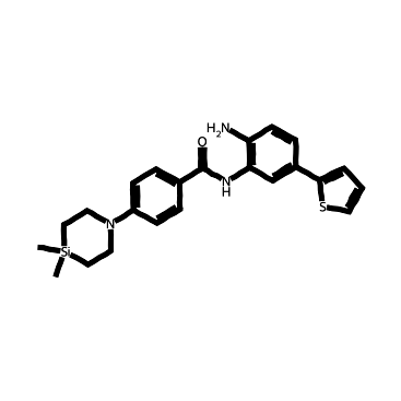 C[Si]1(C)CCN(c2ccc(C(=O)Nc3cc(-c4cccs4)ccc3N)cc2)CC1